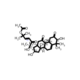 CC(=O)OC(C)(C)/C=C/C(=O)[C@](C)(O)[C@H]1[C@H](O)C[C@@]2(C)[C@@H]3CC=C4[C@@H](CC(=O)[C@@H](O)C4(C)C)[C@]3(C)C(=O)C[C@]12C